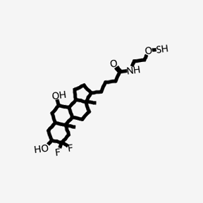 CC12CCC3C(C(O)CC4CC(O)C(F)(F)CC43C)C1CCC2CCCC(=O)NCCOS